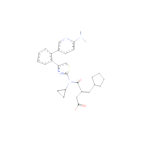 CN(C)c1ccc(-c2ccccc2-c2csc(N(C(=O)C(CC(=O)O)CC3CCCC3)C3CC3)n2)cn1